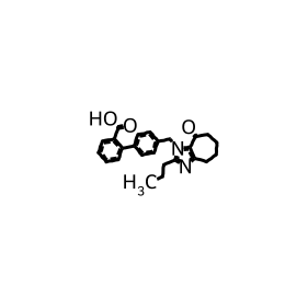 CCCc1nc2c(n1Cc1ccc(-c3ccccc3C(=O)O)cc1)C(=O)CCCC2